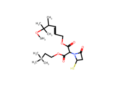 CC(C=CCOC(=O)C(C(=O)OCC[Si](C)(C)C)N1C(=O)CC1S)C(C)(C)O[SiH3]